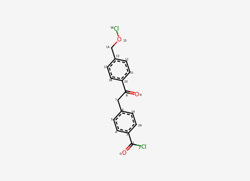 O=C(Cl)c1ccc(CC(=O)c2ccc(COCl)cc2)cc1